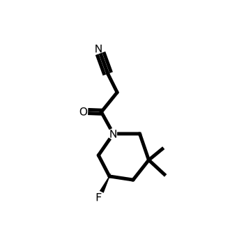 CC1(C)C[C@@H](F)CN(C(=O)CC#N)C1